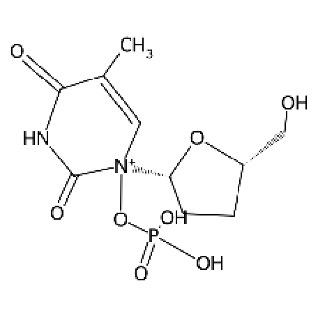 CC1=C[N+](OP(=O)(O)O)([C@H]2CC[C@@H](CO)O2)C(=O)NC1=O